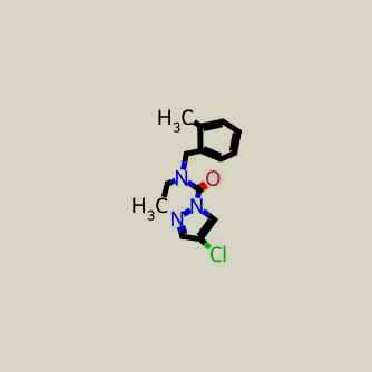 CCN(Cc1ccccc1C)C(=O)n1cc(Cl)cn1